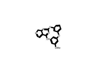 COc1cccc(Oc2cccc(OC3=NC4CN=CC=C4C(O)=N3)c2)c1